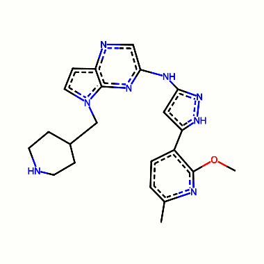 COc1nc(C)ccc1-c1cc(Nc2cnc3ccn(CC4CCNCC4)c3n2)n[nH]1